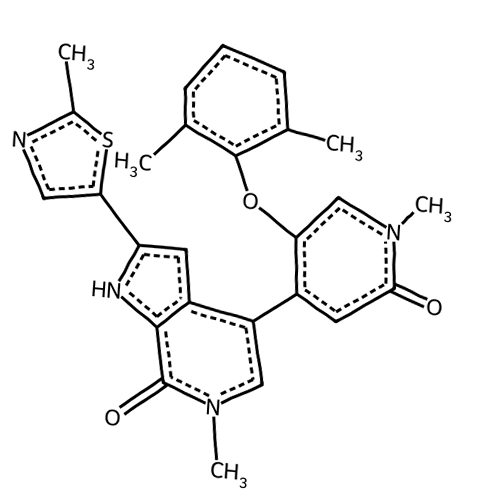 Cc1ncc(-c2cc3c(-c4cc(=O)n(C)cc4Oc4c(C)cccc4C)cn(C)c(=O)c3[nH]2)s1